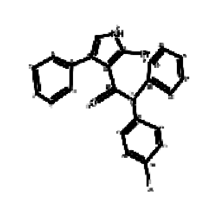 CC(C)c1[nH]cc(-c2ccccc2)c1C(=O)N(c1ccccc1)c1ccc(F)cc1